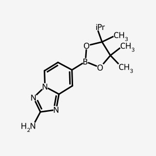 CC(C)C1(C)OB(c2ccn3nc(N)nc3c2)OC1(C)C